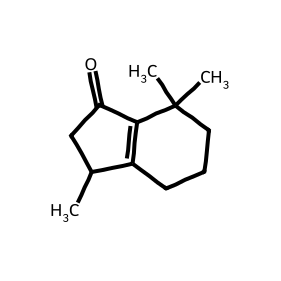 CC1CC(=O)C2=C1CCCC2(C)C